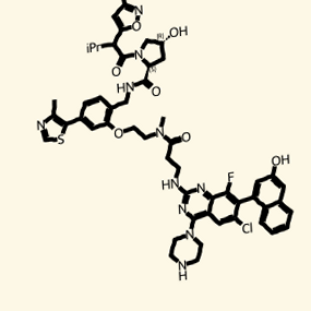 Cc1cc(C(C(=O)N2C[C@H](O)C[C@H]2C(=O)NCc2ccc(-c3scnc3C)cc2OCCN(C)C(=O)CCNc2nc(N3CCNCC3)c3cc(Cl)c(-c4cc(O)cc5ccccc45)c(F)c3n2)C(C)C)on1